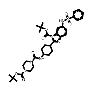 CC(C)(C)OC(=O)N1CCN(C(=O)NC2CCC(c3nc4ccc(NS(=O)(=O)c5ccccc5)cc4n3C(=O)OC(C)(C)C)CC2)CC1